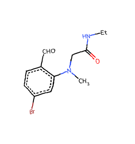 CCNC(=O)CN(C)c1cc(Br)ccc1C=O